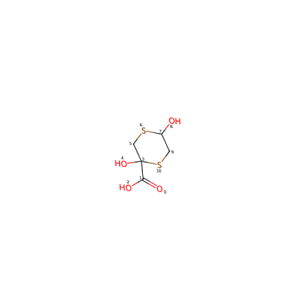 O=C(O)C1(O)CSC(O)CS1